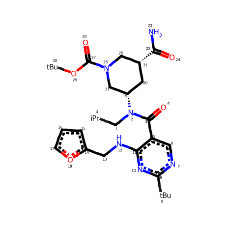 CC(C)CN(C(=O)c1cnc(C(C)(C)C)nc1NCc1ccco1)[C@H]1C[C@@H](C(N)=O)CN(C(=O)OC(C)(C)C)C1